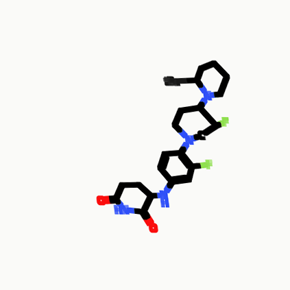 CC(C)(C)C1CCCCN1C1CCN(c2ccc(NC3CCC(=O)NC3=O)cc2F)CC1F